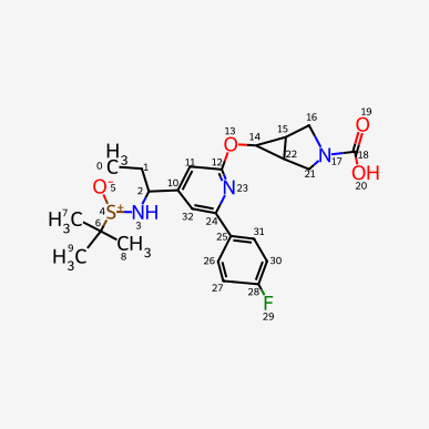 CCC(N[S+]([O-])C(C)(C)C)c1cc(OC2C3CN(C(=O)O)CC32)nc(-c2ccc(F)cc2)c1